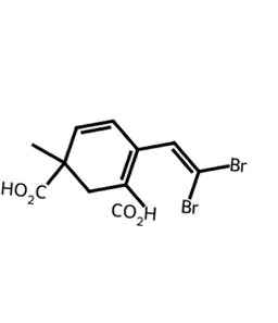 CC1(C(=O)O)C=CC(C=C(Br)Br)=C(C(=O)O)C1